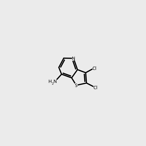 Nc1ccnc2c(Cl)c(Cl)sc12